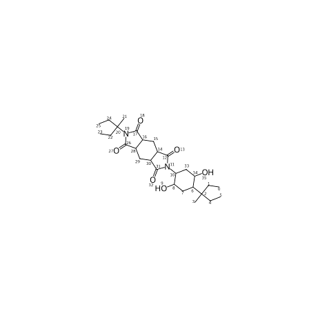 CCC(C)(CC)C1CC(O)C(N2C(=O)C3CC4C(=O)N(C(C)(CC)CC)C(=O)C4CC3C2=O)CC1O